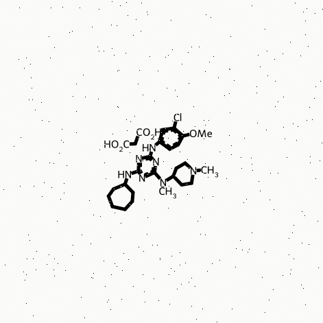 COc1ccc(Nc2nc(NC3CCCCCC3)nc(N(C)C3CCN(C)CC3)n2)cc1Cl.O=C(O)CC(=O)O